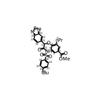 CCCc1cc(C(=O)OC)ccc1OC(C(=O)NS(=O)(=O)c1ccc(C(C)(C)C)cc1)c1ccc2nsnc2c1